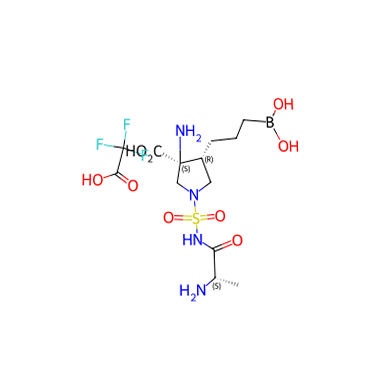 C[C@H](N)C(=O)NS(=O)(=O)N1C[C@@H](CCCB(O)O)[C@@](N)(C(=O)O)C1.O=C(O)C(F)(F)F